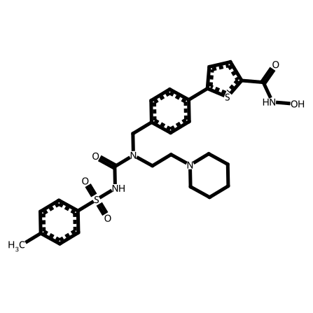 Cc1ccc(S(=O)(=O)NC(=O)N(CCN2CCCCC2)Cc2ccc(-c3ccc(C(=O)NO)s3)cc2)cc1